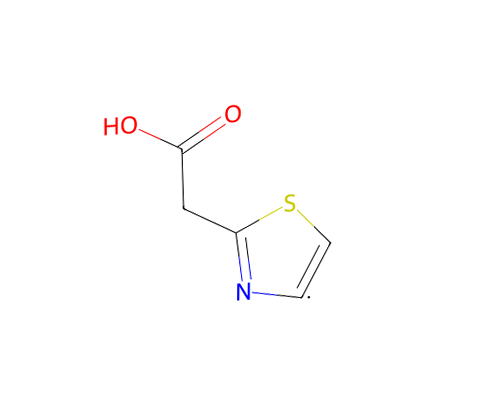 O=C(O)Cc1n[c]cs1